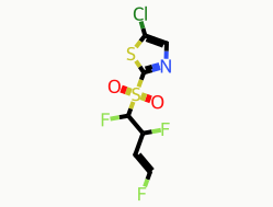 O=S(=O)(c1ncc(Cl)s1)C(F)C(F)C=CF